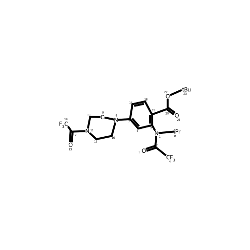 CC(C)N(C(=O)C(F)(F)F)c1cc(N2CCN(C(=O)C(F)(F)F)CC2)ccc1C(=O)OC(C)(C)C